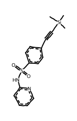 C[Si](C)(C)C#Cc1ccc(S(=O)(=O)Nc2ccccn2)cc1